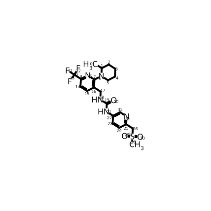 CC1CCCCN1c1nc(C(F)(F)F)ccc1CNC(=O)Nc1ccc(CS(C)(=O)=O)nc1